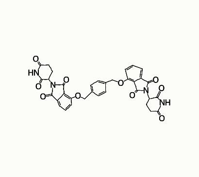 O=C1CCC(N2C(=O)c3cccc(OCc4ccc(COc5cccc6c5C(=O)N(C5CCC(=O)NC5=O)C6=O)cc4)c3C2=O)C(=O)N1